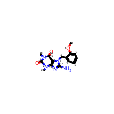 COc1ccccc1Cn1c(N)nc2c1c(=O)n(C)c(=O)n2C